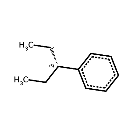 C[CH][C@@H](CC)c1ccccc1